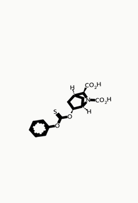 O=C(O)[C@@H]1[C@H]2C[C@H]([C@H](OC(=S)Oc3ccccc3)C2)N1C(=O)O